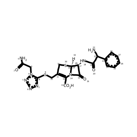 NC(=O)Cn1nnnc1SCC1=C(C(=O)O)N2C(=O)[C@@H](NC(=O)C(N)c3ccccc3)[C@@H]2SC1